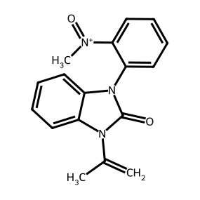 C=C(C)n1c(=O)n(-c2ccccc2[N+](C)=O)c2ccccc21